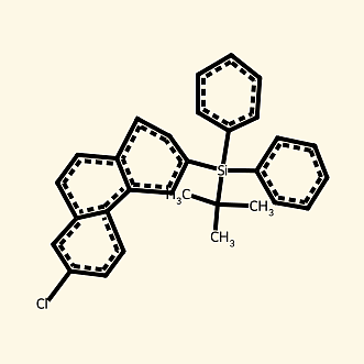 CC(C)(C)[Si](c1ccccc1)(c1ccccc1)c1ccc2ccc3cc(Cl)ccc3c2c1